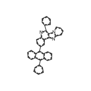 c1ccc(-c2c3ccccc3c(-c3ccc4nc(-c5ccccc5)c5c(nc6ccccn65)c4c3)c3ccccc23)cc1